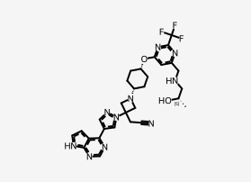 C[C@H](O)CNCc1cc(O[C@H]2CC[C@@H](N3CC(CC#N)(n4cc(-c5ncnc6[nH]ccc56)cn4)C3)CC2)nc(C(F)(F)F)n1